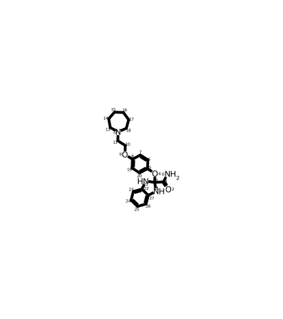 NC(=O)C1(Oc2ccc(OCCN3CCCCCC3)cc2)Nc2ccccc2N1